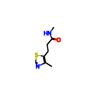 CNC(=O)CCc1scnc1C